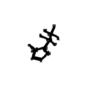 Cn1ccnc1[Si](C)(C)C(C)(C)C